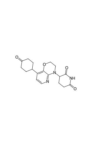 O=C1CCC(c2ccnc3c2OCCN3C2CCC(=O)NC2=O)CC1